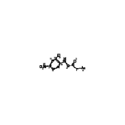 CC(=O)CC(=O)ONc1ccc([N+](=O)[O-])cc1Cl